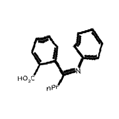 CCCC(=Nc1ccccc1)c1ccccc1C(=O)O